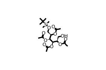 CC(=O)O[C@@H]([C@H](OC(C)=O)[C@@H](CO[Si](C)(C)C(C)(C)C)OC(C)=O)[C@@H](CO)OC(C)=O